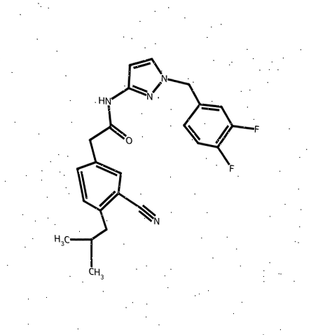 CC(C)Cc1ccc(CC(=O)Nc2ccn(Cc3ccc(F)c(F)c3)n2)cc1C#N